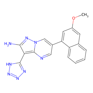 COc1cc(-c2cnc3c(-c4nnn[nH]4)c(N)nn3c2)c2ccccc2c1